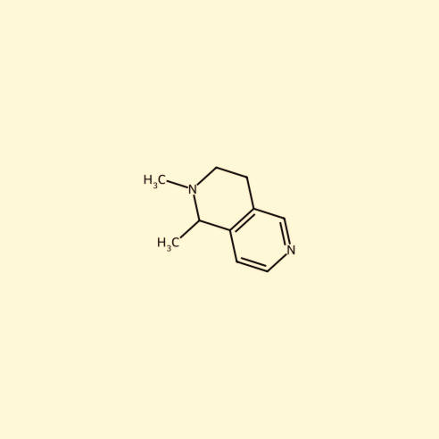 CC1c2ccncc2CCN1C